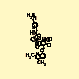 Cc1cc(C)c2cccc(OCc3c(Cl)ccc(S(=O)(=O)N4CCC[C@H]4C(=O)NCc4ccc(C=NN)cn4)c3Cl)c2n1.Cl.Cl